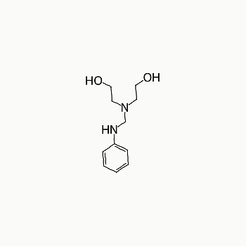 OCCN(CCO)CNc1ccccc1